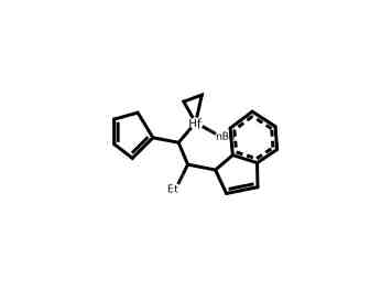 CCC[CH2][Hf]1([CH](C2=CC=CC2)C(CC)C2C=Cc3ccccc32)[CH2][CH2]1